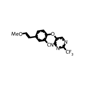 CO/C=C/c1ccc(Oc2cnc(C(F)(F)F)nc2)c(C#N)c1